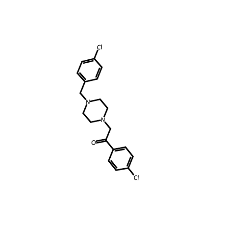 O=C(CN1CCN(Cc2ccc(Cl)cc2)CC1)c1ccc(Cl)cc1